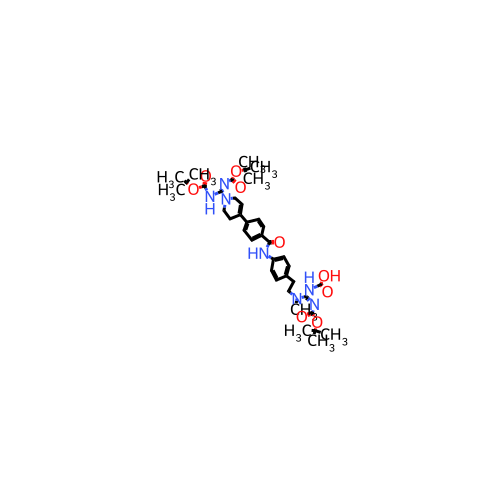 CN(CCc1ccc(NC(=O)c2ccc(C3=CCN(/C(=N\C(=O)OC(C)(C)C)NC(=O)OC(C)(C)C)CC3)cc2)cc1)/C(=N\C(=O)OC(C)(C)C)NC(=O)O